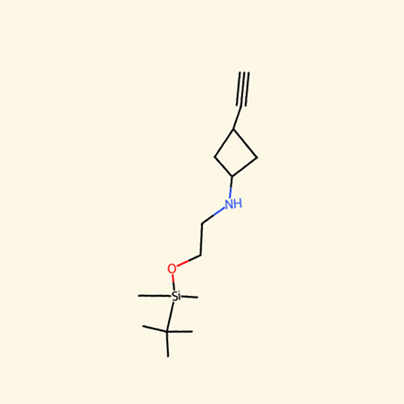 C#CC1CC(NCCO[Si](C)(C)C(C)(C)C)C1